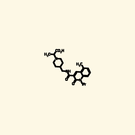 Cc1cccc2c1cc(C(=O)NCC1CCN(C(C)C(=O)O)CC1)c(=O)n2C(C)C